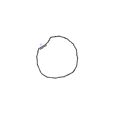 C1=C/CCCCCCCCCCCCCC/1